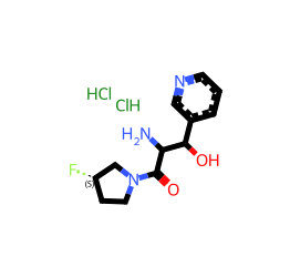 Cl.Cl.NC(C(=O)N1CC[C@H](F)C1)C(O)c1cccnc1